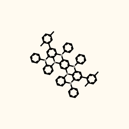 Cc1ccc(C)c(-c2cc3c4c(c2)N(c2ccccc2)c2cc5c(cc2B4c2ccccc2N3c2ccccc2)B2c3ccccc3N(c3ccccc3)c3cc(-c4cc(C)ccc4C)cc(c32)N5c2ccccc2)c1